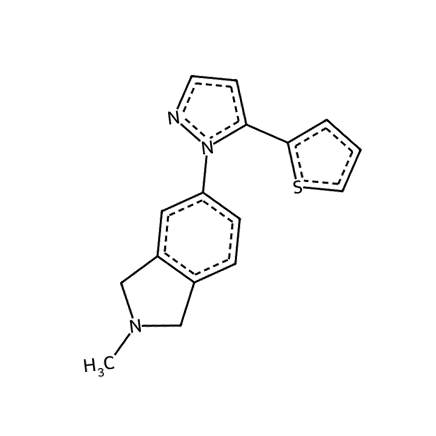 CN1Cc2ccc(-n3nccc3-c3cccs3)cc2C1